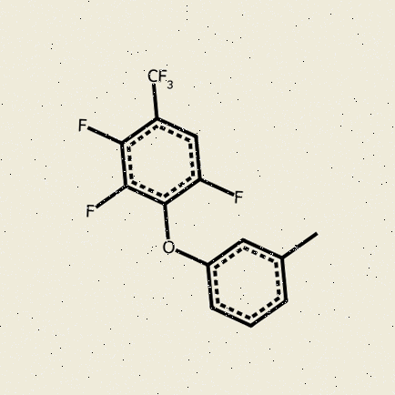 Cc1cccc(Oc2c(F)cc(C(F)(F)F)c(F)c2F)c1